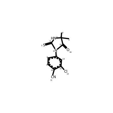 CC1(C)NC(=S)N(c2ccc(C#N)c(Cl)c2)C1=O